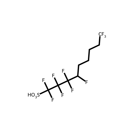 O=S(=O)(O)C(F)(F)C(F)(F)C(F)(F)C(F)CCCCC(F)(F)F